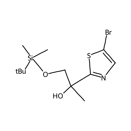 CC(O)(CO[Si](C)(C)C(C)(C)C)c1ncc(Br)s1